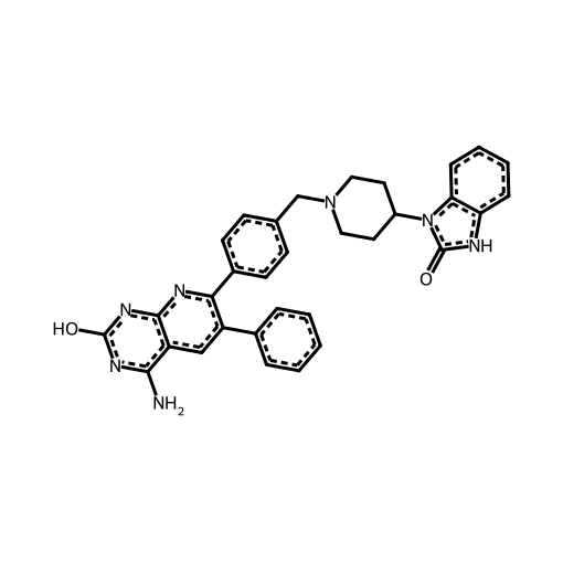 Nc1nc(O)nc2nc(-c3ccc(CN4CCC(n5c(=O)[nH]c6ccccc65)CC4)cc3)c(-c3ccccc3)cc12